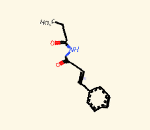 O=C(O)CC(=O)NC(=O)/C=C/c1ccccc1